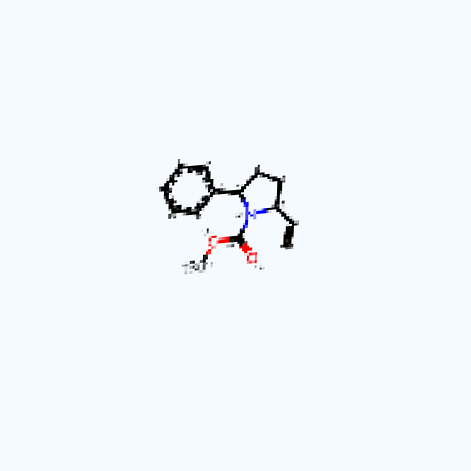 C=CC1CCC(c2ccccc2)N1C(=O)OC(C)(C)C